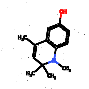 CC1=CC(C)(C)N(C)c2ccc(O)cc21